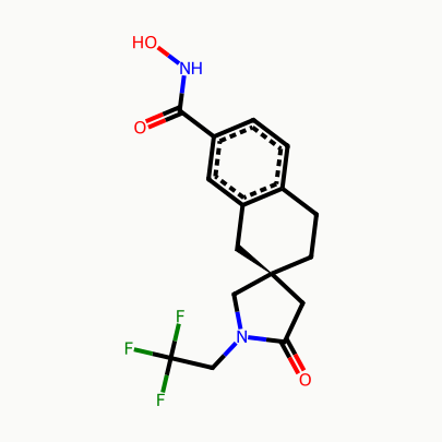 O=C(NO)c1ccc2c(c1)C[C@@]1(CC2)CC(=O)N(CC(F)(F)F)C1